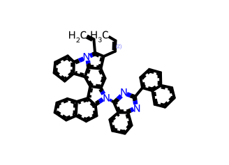 C=Cc1c(/C=C\C)c2cc3c(c4c5ccccc5ccc4n3-c3nc(-c4cccc5ccccc45)nc4ccccc34)c3c4ccccc4n1c23